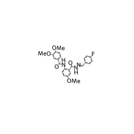 COc1ccc(NC(=O)c2ccc(OC)c(OC)c2)c(C(=O)N/N=C/c2ccc(F)cc2)c1